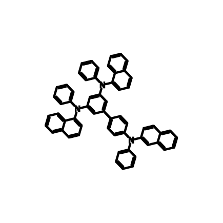 c1ccc(N(c2ccc(-c3cc(N(c4ccccc4)c4cccc5ccccc45)cc(N(c4ccccc4)c4cccc5ccccc45)c3)cc2)c2ccc3ccccc3c2)cc1